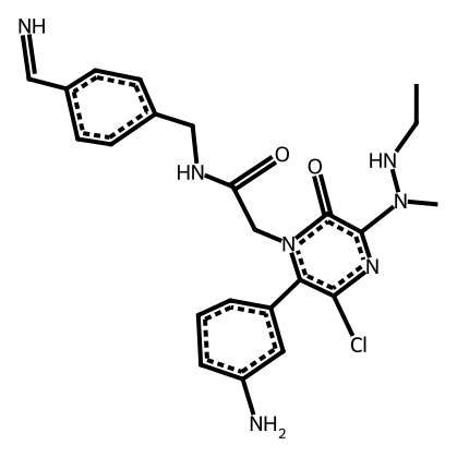 CCNN(C)c1nc(Cl)c(-c2cccc(N)c2)n(CC(=O)NCc2ccc(C=N)cc2)c1=O